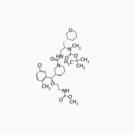 COC(=O)NCCO[C@@H](c1cc(Cl)ccc1C)[C@@H]1CCCN(C(=O)NCC(C[C@H]2CCCOC2)N(C)C(=O)OC(C)(C)C)C1